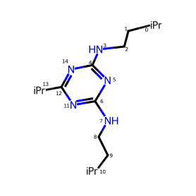 CC(C)CCNc1nc(NCCC(C)C)nc(C(C)C)n1